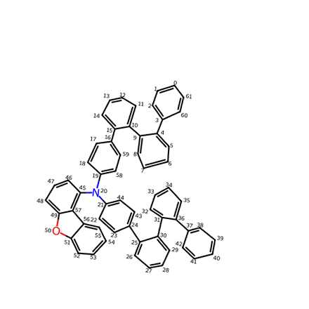 c1ccc(-c2ccccc2-c2ccccc2-c2ccc(N(c3ccc(-c4ccccc4-c4ccccc4-c4ccccc4)cc3)c3cccc4oc5ccccc5c34)cc2)cc1